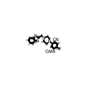 COc1cc(N2CCN(Cc3nc4ccccc4s3)CC2)c(C#N)cc1F